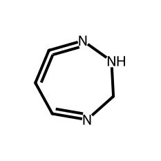 C1=CC=NCNN=1